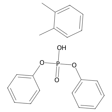 Cc1ccccc1C.O=P(O)(Oc1ccccc1)Oc1ccccc1